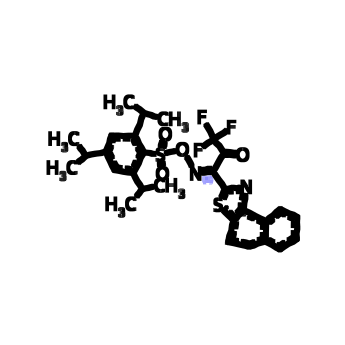 CC(C)c1cc(C(C)C)c(S(=O)(=O)O/N=C(\C(=O)C(F)(F)F)c2nc3c(ccc4ccccc43)s2)c(C(C)C)c1